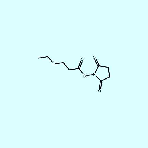 CCOCCC(=O)ON1C(=O)CCC1=O